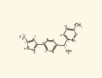 Cc1cnc([C@H](O)c2ccc(-c3noc(C(F)(F)F)n3)cc2)cn1